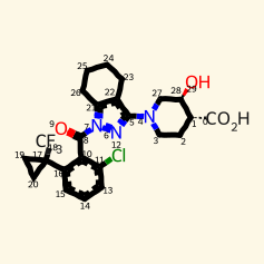 O=C(O)[C@@H]1CCN(c2nn(C(=O)c3c(Cl)cccc3C3(C(F)(F)F)CC3)c3c2CCCC3)C[C@H]1O